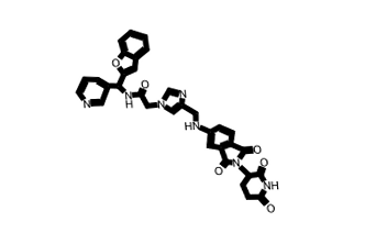 O=C1CCC(N2C(=O)c3ccc(NCc4cn(CC(=O)NC(c5cccnc5)c5cc6ccccc6o5)cn4)cc3C2=O)C(=O)N1